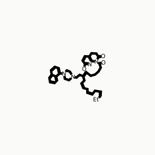 CC/C=C\C/C=C\C/C=C\C/C(CCN1CCN(c2cccc3ccccc23)CC1)=C1\CCCCC(=O)N2C(=O)CCc3ccc(nc32)O1